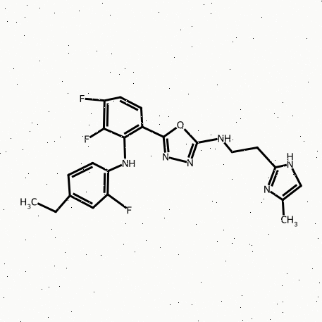 CCc1ccc(Nc2c(-c3nnc(NCCc4nc(C)c[nH]4)o3)ccc(F)c2F)c(F)c1